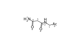 CC(=O)CNC(=O)CC(N)=O